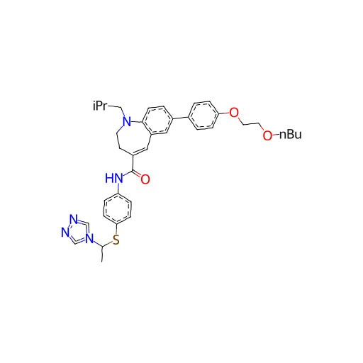 CCCCOCCOc1ccc(-c2ccc3c(c2)C=C(C(=O)Nc2ccc(SC(C)n4cnnc4)cc2)CCN3CC(C)C)cc1